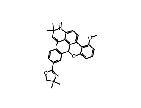 COc1cccc2c1-c1ccc3c(c1C(c1cccc(C4=NC(C)(C)CO4)c1)O2)C(C)=CC(C)(C)N3